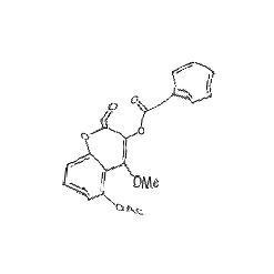 COc1c(OC(=O)c2ccccc2)c(=O)oc2cccc(OC(C)=O)c12